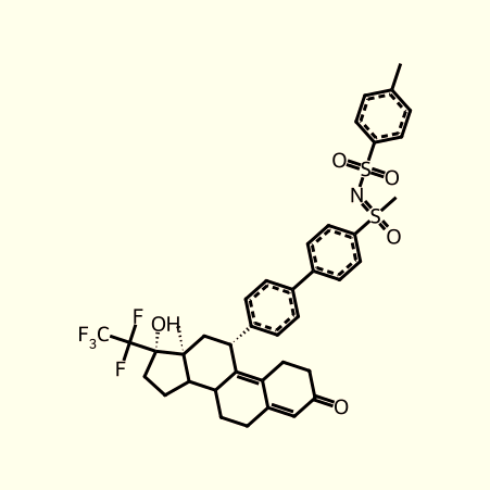 Cc1ccc(S(=O)(=O)N=S(C)(=O)c2ccc(-c3ccc([C@H]4C[C@@]5(C)C(CC[C@@]5(O)C(F)(F)C(F)(F)F)C5CCC6=CC(=O)CCC6=C54)cc3)cc2)cc1